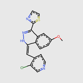 COc1ccc2c(c1)C(c1nccs1)=NN/C2=C/c1ccncc1Cl